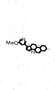 COc1cncc(C2=CC=C3[C@@H]4CC=C5C[C@@H](C)CC[C@]5(C)C4CC[C@]23C)c1